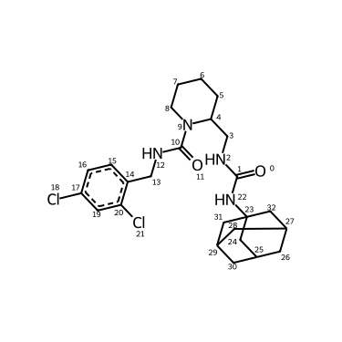 O=C(NCC1CCCCN1C(=O)NCc1ccc(Cl)cc1Cl)NC12CC3CC(CC(C3)C1)C2